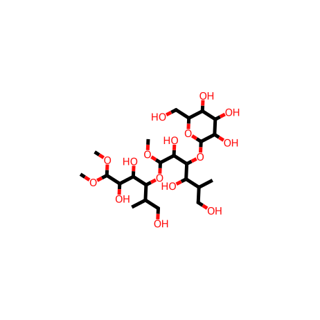 COC(OC)C(O)C(O)C(OC(OC)C(O)C(OC1OC(CO)C(O)C(O)C1O)C(O)C(C)CO)C(C)CO